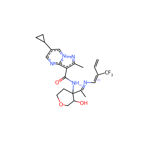 C=C/C(=C\N=C(/C)C1(NC(=O)c2c(C)nn3cc(C4CC4)cnc23)CCOCC1O)C(F)(F)F